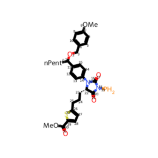 CCCCCC(OCc1ccc(OC)cc1)c1ccc(N2C(=O)N(P)C(=O)[C@@H]2CCCc2ccc(C(=O)OC)s2)cc1